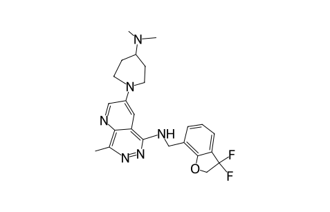 Cc1nnc(NCc2cccc3c2OCC3(F)F)c2cc(N3CCC(N(C)C)CC3)cnc12